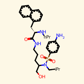 CCCN[C@@H](Cc1cccc2ccccc12)C(=O)NCCCC(CO)N(CC(C)C)S(=O)(=O)c1ccc(N)cc1